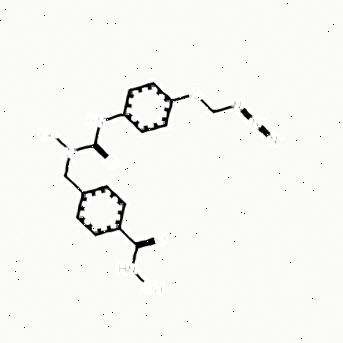 CCCCN(Cc1ccc(C(=O)NO)cc1)C(=O)Nc1ccc(OCN=[N+]=[N-])cc1